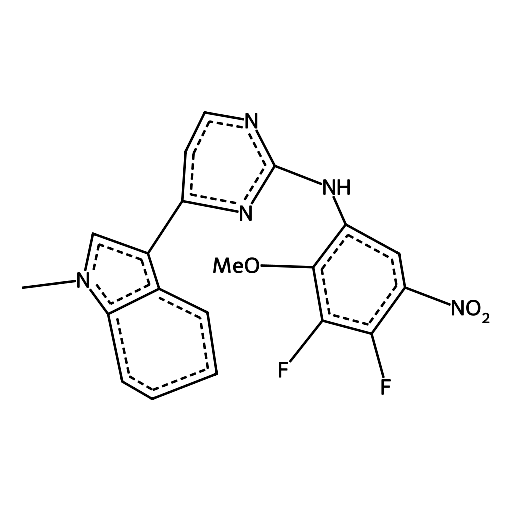 COc1c(Nc2nccc(-c3cn(C)c4ccccc34)n2)cc([N+](=O)[O-])c(F)c1F